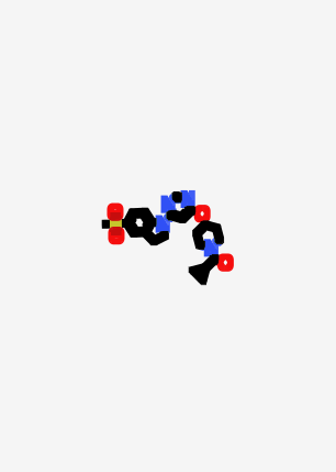 CS(=O)(=O)c1ccc2c(c1)CCN2c1cc(OC2CCN(C(=O)C3CC3)CC2)ncn1